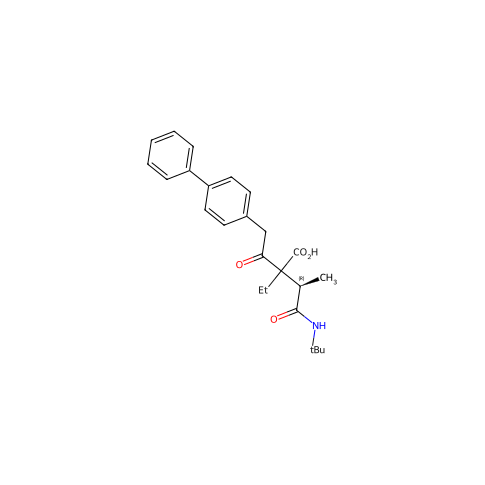 CCC(C(=O)O)(C(=O)Cc1ccc(-c2ccccc2)cc1)[C@@H](C)C(=O)NC(C)(C)C